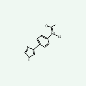 CC[N+](=C(C)[O-])c1ccc(-c2c[nH]cn2)cc1